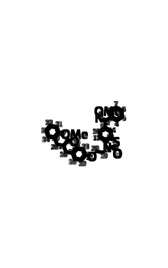 CON=C(c1ccccc1)c1ccc2c(c1)sc(=O)n2CCOc1ccc(CC(Cc2ccccc2)C(=O)OC)cc1